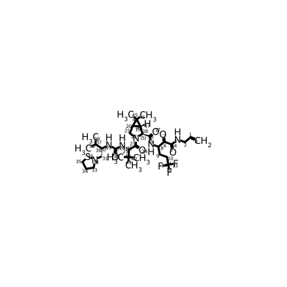 C=CCNC(=O)C(=O)C(CCC(F)(F)F)NC(=O)[C@@H]1[C@@H]2C(CN1C(=O)[C@@H](NC(=O)N[C@H](CN1CCCS1)C(C)C)C(C)(C)C)C2(C)C